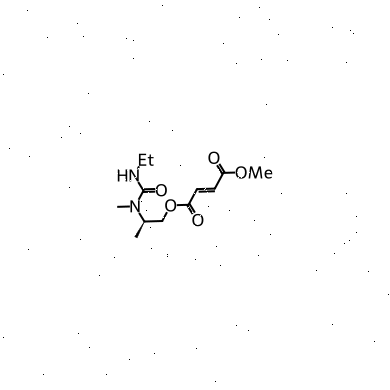 CCNC(=O)N(C)[C@H](C)COC(=O)/C=C/C(=O)OC